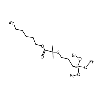 CCO[Si](CCCSC(C)(C)C(=O)OCCCCCC(C)C)(OCC)OCC